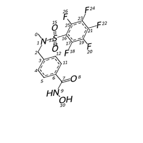 CN(Cc1ccc(C(=O)NO)cc1)S(=O)(=O)c1c(F)c(F)c(F)c(F)c1F